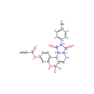 CCCCCCC(=O)Oc1ccc2c(c1)OC(C)(C)C1=CCn3c(=O)n(-c4ccc(C(C)=O)cc4)c(=O)n3C12